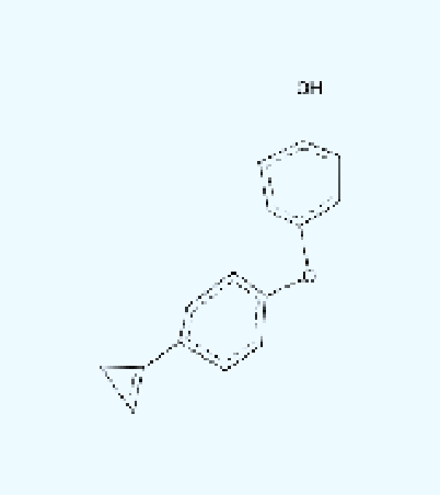 Oc1ccc(Oc2ccc(C3=CC3)cc2)cc1